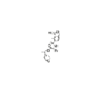 Cc1c(C(=O)N[C@H](C(=O)OCC(C)N2CCOCC2)C(C)C)ccc2c1B(O)OC2